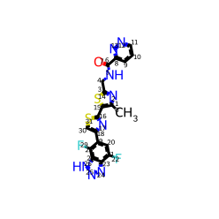 Cc1nc(CNC(=O)c2cccnn2)sc1-c1nc(-c2cc(F)c3nn[nH]c3c2F)cs1